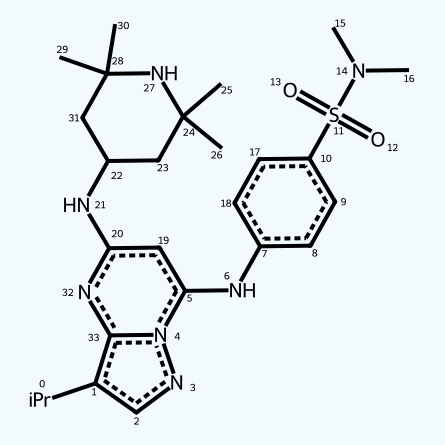 CC(C)c1cnn2c(Nc3ccc(S(=O)(=O)N(C)C)cc3)cc(NC3CC(C)(C)NC(C)(C)C3)nc12